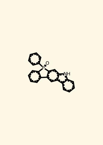 O=P1(c2ccccc2)c2ccccc2-c2cc3c(cc21)[nH]c1ccccc13